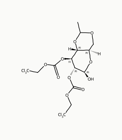 CC1OC[C@H]2O[C@@H](O)[C@H](OC(=O)OCC(Cl)(Cl)Cl)[C@@H](OC(=O)OCC(Cl)(Cl)Cl)[C@@H]2O1